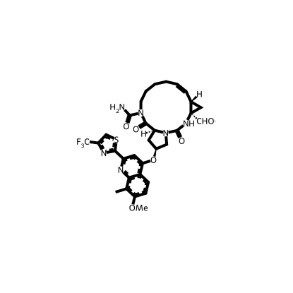 COc1ccc2c(O[C@H]3C[C@H]4C(=O)N(C(N)=O)CCCC/C=C\[C@@H]5C[C@@]5([C]=O)NC(=O)N4C3)cc(-c3nc(C(F)(F)F)cs3)nc2c1C